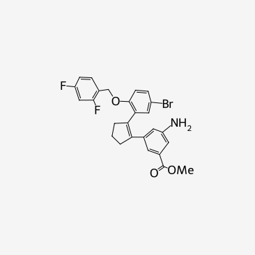 COC(=O)c1cc(N)cc(C2=C(c3cc(Br)ccc3OCc3ccc(F)cc3F)CCC2)c1